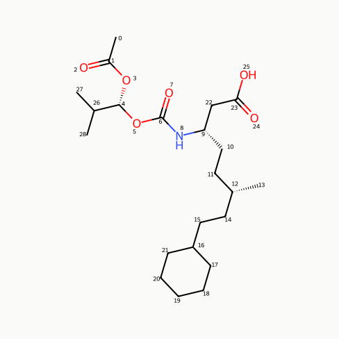 CC(=O)O[C@H](OC(=O)N[C@@H](CC[C@H](C)CCC1CCCCC1)CC(=O)O)C(C)C